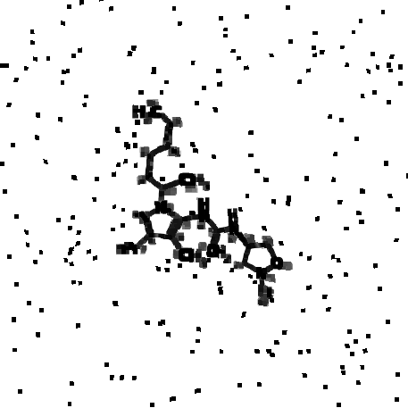 C=C(Nc1c(C)c(CCC)nn1C(C)/C=C\C=C/C)N[C@H]1CON(CC)C1